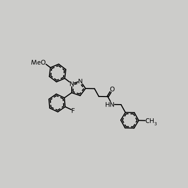 COc1ccc(-n2nc(CCC(=O)NCc3cccc(C)c3)cc2-c2ccccc2F)cc1